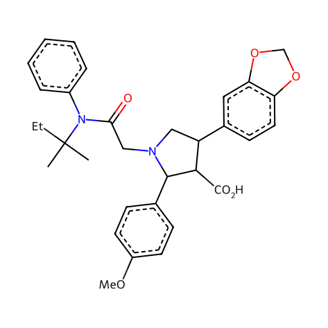 CCC(C)(C)N(C(=O)CN1CC(c2ccc3c(c2)OCO3)C(C(=O)O)C1c1ccc(OC)cc1)c1ccccc1